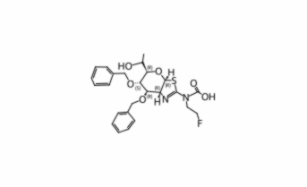 CC(O)[C@H]1O[C@@H]2SC(N(CCF)C(=O)O)=N[C@@H]2[C@@H](OCc2ccccc2)[C@@H]1OCc1ccccc1